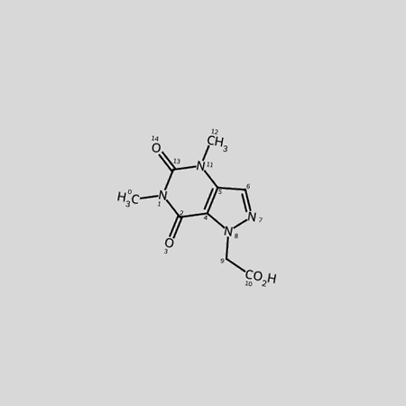 Cn1c(=O)c2c(cnn2CC(=O)O)n(C)c1=O